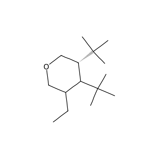 CCC1COC[C@H](C(C)(C)C)C1C(C)(C)C